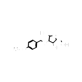 COc1ccc(CO[C@H]2C(O)O[C@H](CO)[C@H]2O)cc1